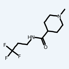 CN1CCC(C(=O)NCCC(F)(F)F)CC1